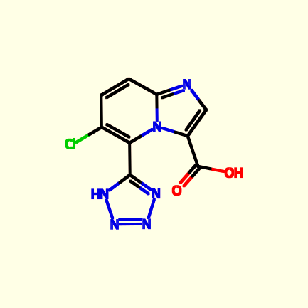 O=C(O)c1cnc2ccc(Cl)c(-c3nnn[nH]3)n12